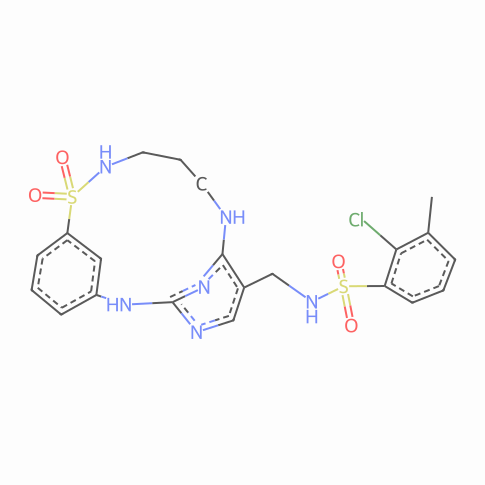 Cc1cccc(S(=O)(=O)NCc2cnc3nc2NCCCNS(=O)(=O)c2cccc(c2)N3)c1Cl